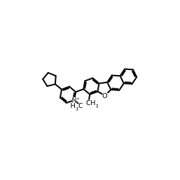 Cc1c(-c2cc(C3CCCC3)cc[n+]2C)ccc2c1oc1cc3ccccc3cc12